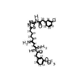 N/C(=C\C=C(/N)NC(=O)Cc1cccc(OC(F)(F)F)c1)CCCCc1nnc(NC(=O)Cc2cccc(Cl)c2)s1